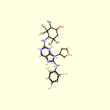 [2H]C1C(O)CC([2H])([2H])C(Nc2ncc3nc(Nc4c(F)cc(F)cc4F)n(C4CCOC4)c3n2)C1([2H])[2H]